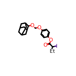 CCC(I)C(=O)Oc1ccc(OCOC2C3CC4CC(C3)CC2C4)cc1